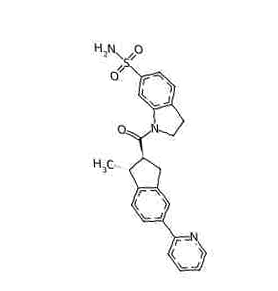 C[C@H]1c2ccc(-c3ccccn3)cc2C[C@@H]1C(=O)N1CCc2ccc(S(N)(=O)=O)cc21